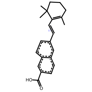 CC1=C(/C=C/c2ccc3cc(C(=O)O)ccc3c2)C(C)(C)CCC1